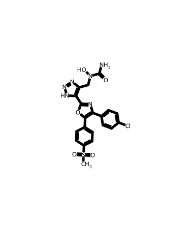 CS(=O)(=O)c1ccc(-c2oc(-c3[nH]nnc3CN(O)C(N)=O)nc2-c2ccc(Cl)cc2)cc1